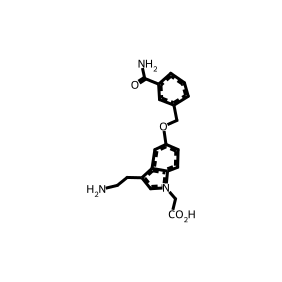 NCCc1cn(CC(=O)O)c2ccc(OCc3cccc(C(N)=O)c3)cc12